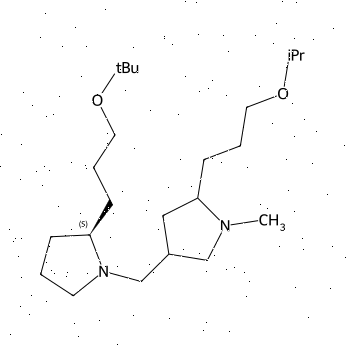 CC(C)OCCCC1CC(CN2CCC[C@H]2CCCOC(C)(C)C)CN1C